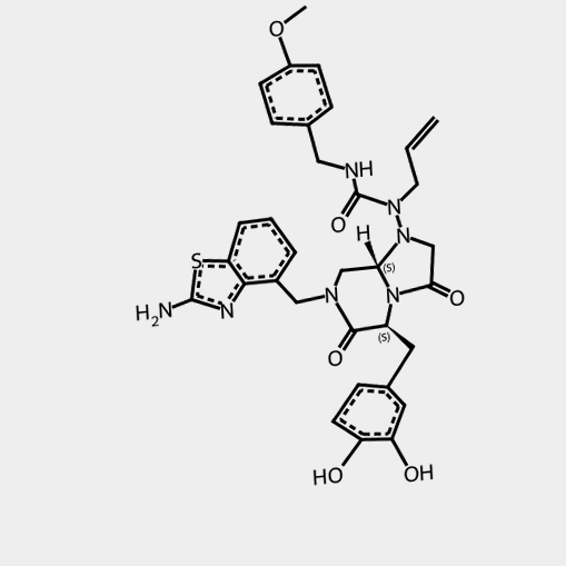 C=CCN(C(=O)NCc1ccc(OC)cc1)N1CC(=O)N2[C@@H](Cc3ccc(O)c(O)c3)C(=O)N(Cc3cccc4sc(N)nc34)C[C@@H]21